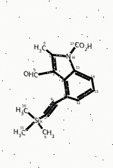 Cc1c(C=O)c2c(C#C[Si](C)(C)C)cccc2n1C(=O)O